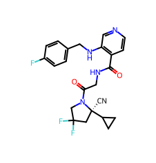 N#C[C@]1(C2CC2)CC(F)(F)CN1C(=O)CNC(=O)c1ccncc1NCc1ccc(F)cc1